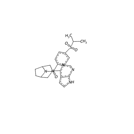 CC(C)S(=O)(=O)c1ccc(C(=O)N2C3CCC2CN(c2ncnc4[nH]ccc24)C3)cc1